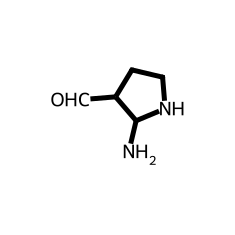 NC1NCCC1C=O